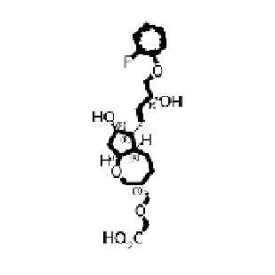 O=C(O)COC[C@H]1CC[C@@H]2[C@@H](C=C[C@@H](O)COc3ccccc3F)[C@H](O)C[C@@H]2OC1